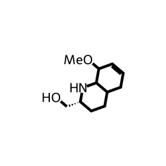 COC1C=CCC2CC[C@H](CO)NC21